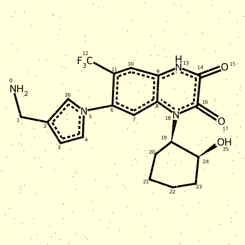 NCc1ccn(-c2cc3c(cc2C(F)(F)F)[nH]c(=O)c(=O)n3[C@@H]2CCCC[C@@H]2O)c1